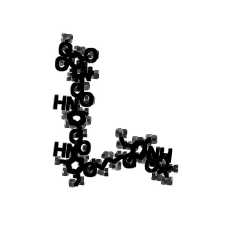 CCc1cc(C)c(NC(=O)OCc2ccc(NC(=O)OCc3cc4c(n3C)C(=O)C=C(OC)C4=O)cc2)cc1OCCCCCOc1cc(NC(=O)OC(C)(C)C)c(C)cc1CC